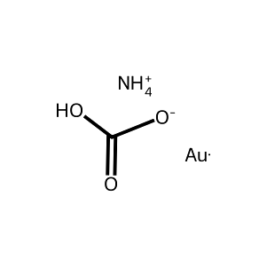 O=C([O-])O.[Au].[NH4+]